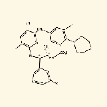 C[C@H](NC(=O)O)[C@H](Nc1nc(Nc2cnc(N3CCOCC3)c(F)c2)c(C#N)cc1F)c1cccc(F)c1